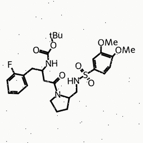 COc1ccc(S(=O)(=O)NCC2CCCN2C(=O)CC(Cc2ccccc2F)NC(=O)OC(C)(C)C)cc1OC